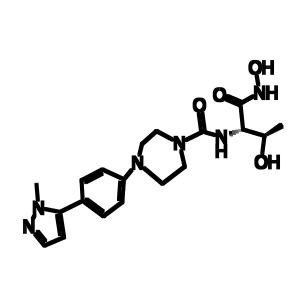 C[C@@H](O)[C@H](NC(=O)N1CCN(c2ccc(-c3ccnn3C)cc2)CC1)C(=O)NO